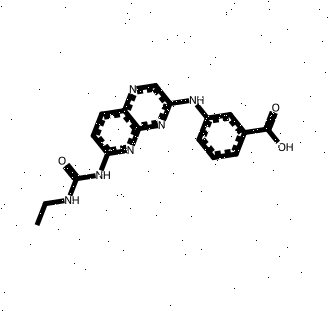 CCNC(=O)Nc1ccc2ncc(Nc3cccc(C(=O)O)c3)nc2n1